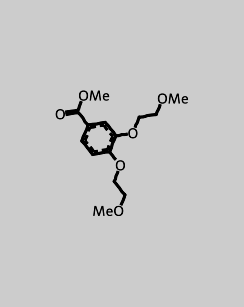 COCCOc1ccc(C(=O)OC)cc1OCCOC